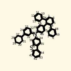 c1ccc(-c2cccc(-c3ccccc3)c2-c2ccc(N(c3cccc(C4CCCCC4)c3)c3ccc4c(c3)sc3ccccc34)cc2)cc1